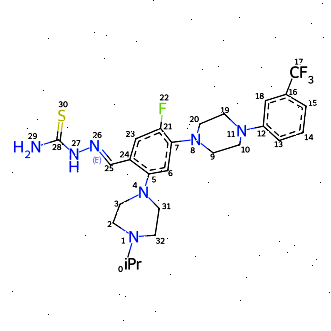 CC(C)N1CCN(c2cc(N3CCN(c4cccc(C(F)(F)F)c4)CC3)c(F)cc2/C=N/NC(N)=S)CC1